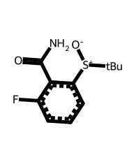 CC(C)(C)[S+]([O-])c1cccc(F)c1C(N)=O